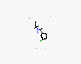 CCC(C)(C)NC(C)c1cccc(F)c1